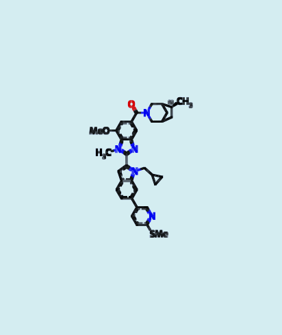 COc1cc(C(=O)N2CC3CC(C2)[C@@H](C)C3)cc2nc(-c3cc4ccc(-c5ccc(SC)nc5)cc4n3CC3CC3)n(C)c12